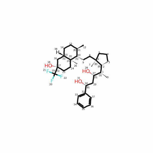 C[C@@H]([C@H]1CCC[C@]1(C)CC[C@H]1[C@H](C)CC[C@H]2C[C@](O)(C(F)(F)F)CC[C@@]21C)[C@@H](O)C[C@@H](O)c1ccccc1